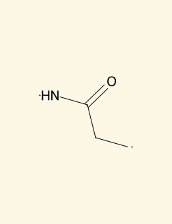 [CH2]CC([NH])=O